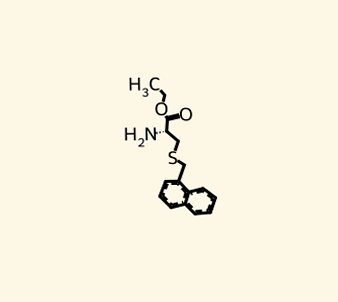 CCOC(=O)[C@@H](N)CSCc1cccc2ccccc12